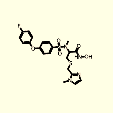 CN(C(CSCc1nccn1C)C(=O)NO)S(=O)(=O)c1ccc(Oc2ccc(F)cc2)cc1